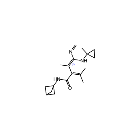 C=N/C(NC1(C)CC1)=C(\C)C(C(=O)NC12CC(C1)C2)=C(C)C